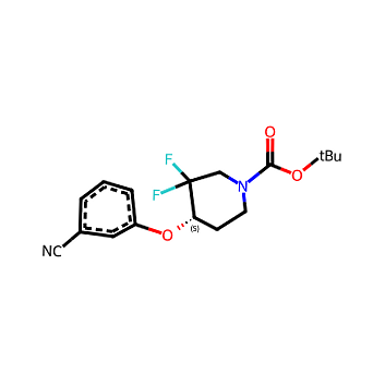 CC(C)(C)OC(=O)N1CC[C@H](Oc2cccc(C#N)c2)C(F)(F)C1